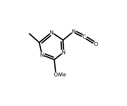 COc1nc(C)nc(N=C=O)n1